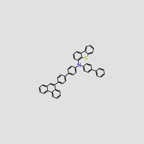 c1ccc(-c2ccc(N(c3ccc(-c4ccc(-c5cc6ccccc6c6ccccc56)cc4)cc3)c3cccc4c3sc3ccccc34)cc2)cc1